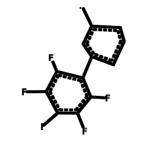 [CH2]c1cccc(-c2c(F)c(F)c(I)c(F)c2F)c1